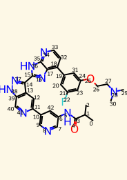 CC(C)C(=O)Nc1cncc(-c2cc3c(-c4nc5c(-c6cc(F)cc(OCCN(C)C)c6)ccnc5[nH]4)n[nH]c3cn2)c1